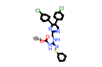 CC(C)(C)OC(=O)N/C(=N\Sc1ccccc1)NCc1ncc(-c2ccc(Cl)cc2)c(-c2ccc(Cl)cc2)n1